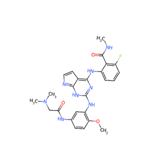 CNC(=O)c1c(F)cccc1Nc1nc(Nc2cc(NC(=O)CN(C)C)ccc2OC)[nH]c2nccc1-2